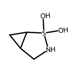 OS1(O)NCC2C[C]21